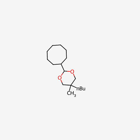 CCCCC1(C)COC(C2CCCCCCC2)OC1